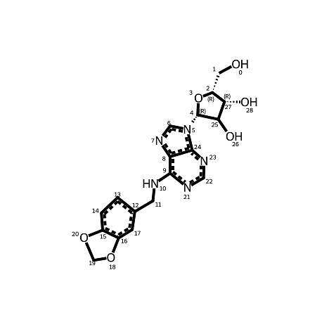 OC[C@H]1O[C@@H](n2cnc3c(NCc4ccc5c(c4)OCO5)ncnc32)C(O)[C@H]1O